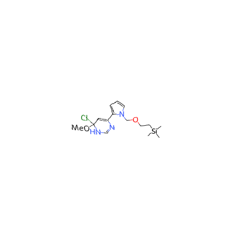 COC1(Cl)C=C(c2cccn2COCC[Si](C)(C)C)N=CN1